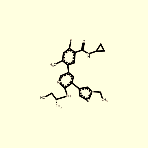 CCn1cc(-c2cc(-c3cc(C(=O)NC4CC4)c(F)cc3C)cnc2N[C@H](C)CO)cn1